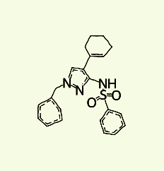 O=S(=O)(Nc1nn(Cc2ccccc2)cc1C1=CCCCC1)c1ccccc1